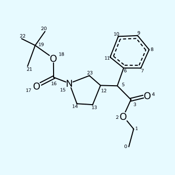 CCOC(=O)C(c1ccccc1)C1CCN(C(=O)OC(C)(C)C)C1